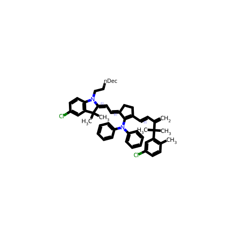 C=C(/C=C/C1=C(N(c2ccccc2)c2ccccc2)C(=C/C=C2/N(CCCCCCCCCCCC)c3ccc(Cl)cc3C2(C)C)/CC1)C(C)(C)c1cc(Cl)ccc1C